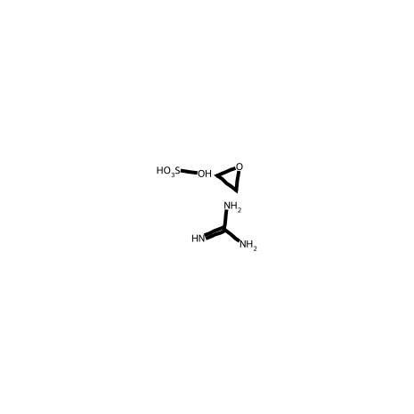 C1CO1.N=C(N)N.O=S(=O)(O)O